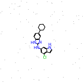 Clc1cc(Nc2nc3cc(C4CCCCC4)ccc3[nH]2)cc2[nH]ccc12